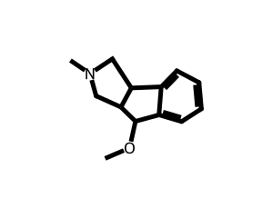 COC1c2ccccc2C2CN(C)CC21